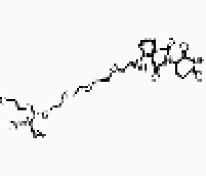 CC(C)N(C(C)C)P(OCCC#N)OCCOCCOCCOCCNc1cccc2c1C(=O)N(C1CCC(=O)NC1=O)C2=O